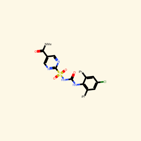 CNC(=O)c1cnc(S(=O)(=O)NC(=O)Nc2c(C(C)C)cc(Cl)cc2C(C)C)nc1